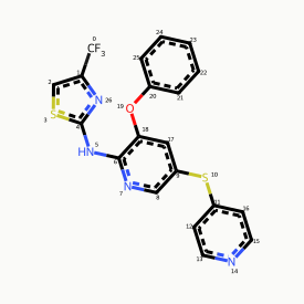 FC(F)(F)c1csc(Nc2ncc(Sc3ccncc3)cc2Oc2ccccc2)n1